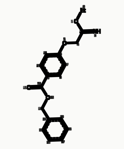 CCOC(=N)COc1ccc(C(=O)OCc2ccccc2)cc1